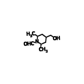 CC1CC(CO)CC(C)N1C=O